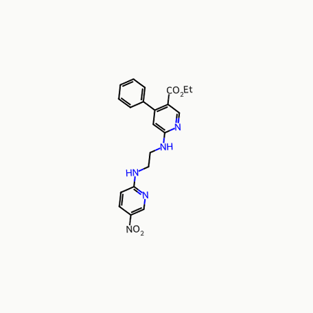 CCOC(=O)c1cnc(NCCNc2ccc([N+](=O)[O-])cn2)cc1-c1ccccc1